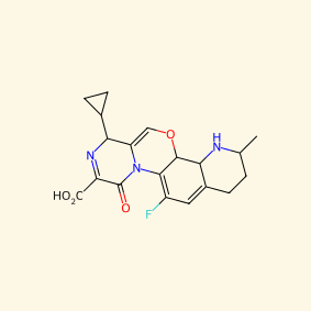 CC1CCC2=CC(F)=C3C(OC=C4C(C5CC5)N=C(C(=O)O)C(=O)N43)C2N1